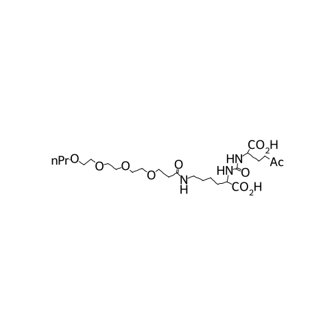 CCCOCCOCCOCCOCCC(=O)NCCCCC(NC(=O)NC(CCC(C)=O)C(=O)O)C(=O)O